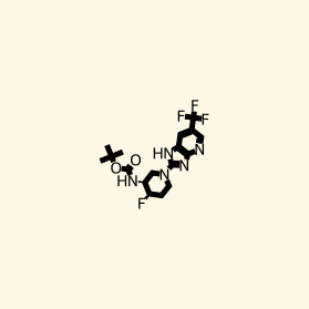 CC(C)(C)OC(=O)N[C@@H]1CN(c2nc3ncc(C(F)(F)F)cc3[nH]2)CC[C@H]1F